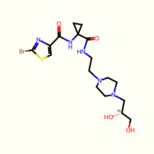 O=C(NC1(C(=O)NCCN2CCN(C[C@@H](O)CO)CC2)CC1)c1csc(Br)n1